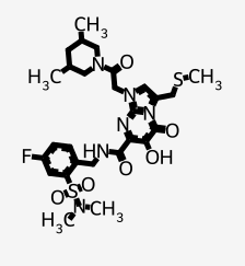 CSCc1cn(CC(=O)N2CC(C)CC(C)C2)c2nc(C(=O)NCc3ccc(F)cc3S(=O)(=O)N(C)C)c(O)c(=O)n12